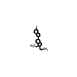 C/C=C\c1ccc2cc(-c3ccc4cc(I)ccc4c3)ccc2c1CC